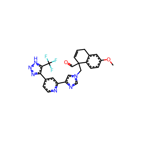 COc1ccc2c(c1)CC=CC2(C=O)Cn1cnc(-c2cc(-c3nn[nH]c3C(F)(F)F)ccn2)c1